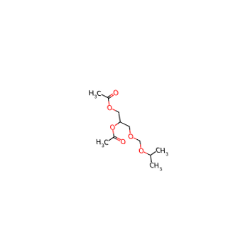 CC(=O)OCC(COCOC(C)C)OC(C)=O